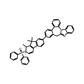 CC1C2=C(C=C[C@H]1P(=O)(c1ccccc1)c1ccccc1)c1ccc(-c3ccc4c(c3)Cc3nc5ccccc5n3-c3ccccc3-4)cc1C2(C)C